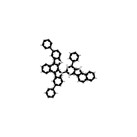 c1ccc(-c2ccc3sc4c(c3c2)c2ccccc2c2c3cc(-c5ccccc5)ccc3n(-c3nc(-c5ccccc5)c5sc6c7ccccc7ccc6c5n3)c42)cc1